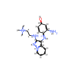 C[N+](C)(C)CCNc1nn2ccccc2c1/N=C1\C=CC(=O)C=C1N